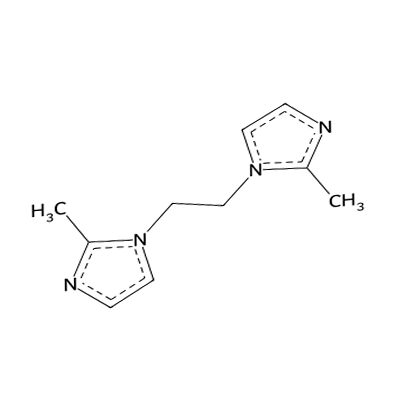 Cc1nccn1CCn1ccnc1C